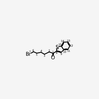 O=C(CCCCCBr)c1cc2ccccc2s1